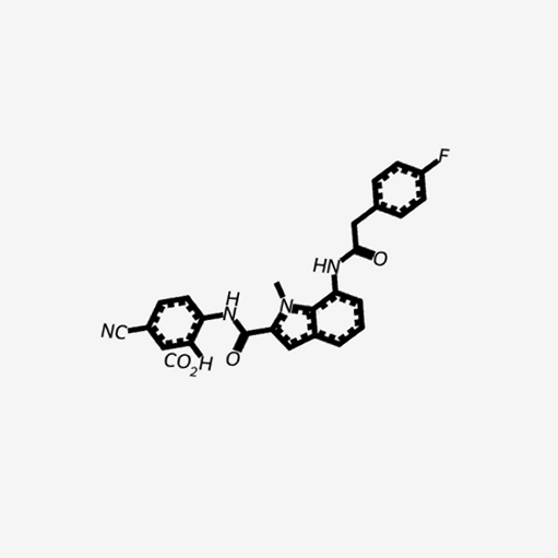 Cn1c(C(=O)Nc2ccc(C#N)cc2C(=O)O)cc2cccc(NC(=O)Cc3ccc(F)cc3)c21